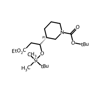 CCOC(=O)CC(O[Si](C)(C)C(C)(C)C)[C@@H]1CCCN(C(=O)OC(C)(C)C)C1